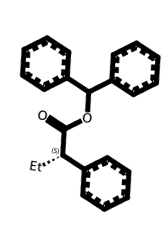 CC[C@H](C(=O)OC(c1ccccc1)c1ccccc1)c1ccccc1